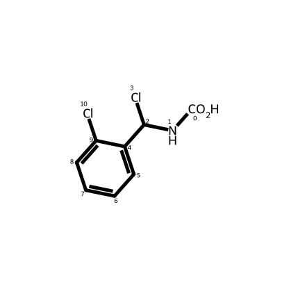 O=C(O)NC(Cl)c1ccccc1Cl